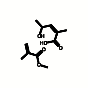 C=C(C)C(=O)OC.CC(=CC(C)O)C(=O)O